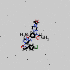 C=CC(=O)Nc1cc(Nc2cc(N3OCCC3c3ccc(Cl)cc3)ncn2)c(OC)cc1N1CCN(C2COC2)CC1